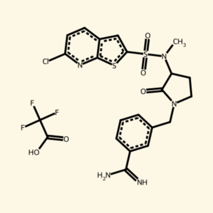 CN(C1CCN(Cc2cccc(C(=N)N)c2)C1=O)S(=O)(=O)c1cc2ccc(Cl)nc2s1.O=C(O)C(F)(F)F